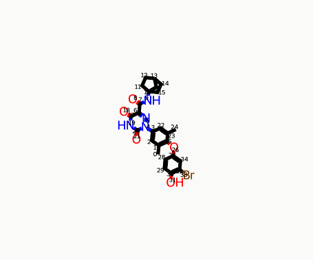 Cc1cc(-n2nc(C(=O)NC34CCC(CC3)C4)c(=O)[nH]c2=O)cc(C)c1Oc1ccc(O)c(Br)c1